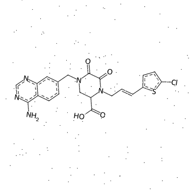 Nc1ncnc2cc(CN3CC(C(=O)O)N(C/C=C/c4ccc(Cl)s4)C(=O)C3=O)ccc12